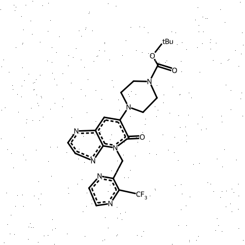 CC(C)(C)OC(=O)N1CCN(c2cc3nccnc3n(Cc3nccnc3C(F)(F)F)c2=O)CC1